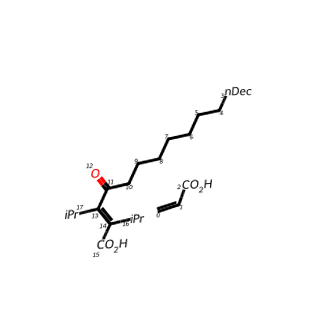 C=CC(=O)O.CCCCCCCCCCCCCCCCCC(=O)C(=C(C(=O)O)C(C)C)C(C)C